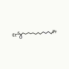 C[CH]SC(=O)CCCCCCCCCCCCC(C)C